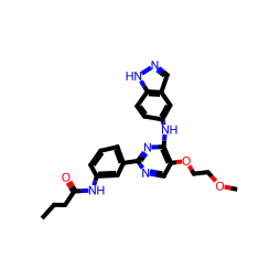 CCCC(=O)Nc1cccc(-c2ncc(OCCOC)c(Nc3ccc4[nH]ncc4c3)n2)c1